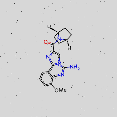 COc1cccc2c1nc(N)n1cc(C(=O)N3[C@H]4CC[C@@H]3CC4)nc21